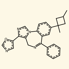 CC1CC(C)(c2ccc3c(c2)C(c2ccccc2)=NCc2c(-c4cnco4)ncn2-3)C1